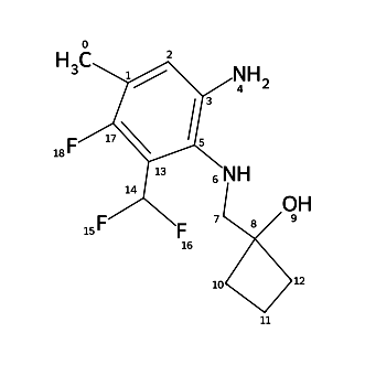 Cc1cc(N)c(NCC2(O)CCC2)c(C(F)F)c1F